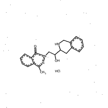 Cc1nn(CC(O)C2Cc3ccccc3CN2)c(=O)c2ccccc12.Cl